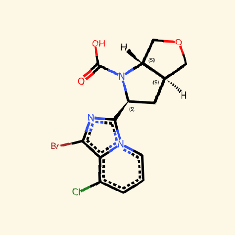 O=C(O)N1[C@@H]2COC[C@H]2C[C@H]1c1nc(Br)c2c(Cl)cccn12